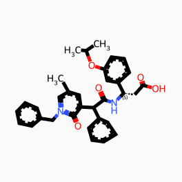 Cc1cc(C(C(=O)N[C@@H](CC(=O)O)c2cccc(OC(C)C)c2)c2ccccc2)c(=O)n(Cc2ccccc2)c1